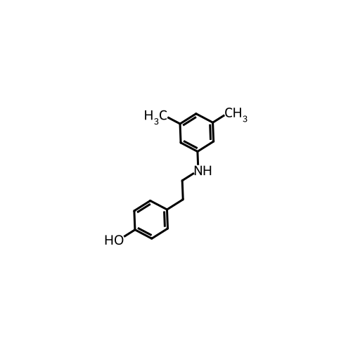 Cc1cc(C)cc(NCCc2ccc(O)cc2)c1